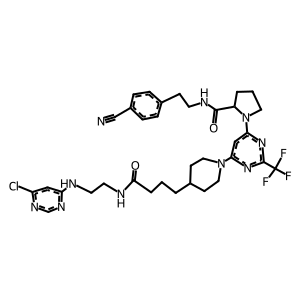 N#Cc1ccc(CCNC(=O)C2CCCN2c2cc(N3CCC(CCCC(=O)NCCNc4cc(Cl)ncn4)CC3)nc(C(F)(F)F)n2)cc1